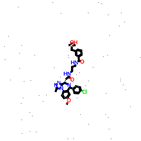 COc1ccc2c(c1)C(c1ccc(Cl)cc1)=N[C@@H](CC(=O)NCCCNC(=O)c1cccc(C[Si](C)(C)O)c1)c1nnc(C)n1-2